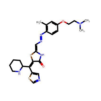 Cc1cc(OCCN(C)C)ccc1N=NC=c1[nH]c(=O)c(=C(c2cncs2)C2CCCCN2)s1